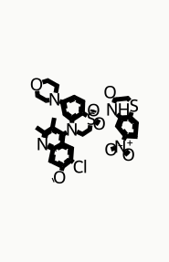 COc1cc2nc(C)c(C)c(N3CCS(=O)(=O)c4ccc(N5CCOCC5)cc43)c2cc1Cl.O=C1CSc2ccc([N+](=O)[O-])cc2N1